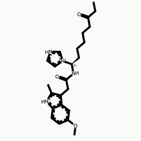 CCC(=O)CCCCC[C@@H](NC(=O)Cc1c(C)[nH]c2ccc(OC)cc12)[n+]1cc[nH]c1